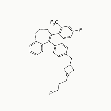 FCCCN1CC(Cc2ccc(C3=C(c4ccc(F)cc4C(F)(F)F)CCCc4ccccc43)cc2)C1